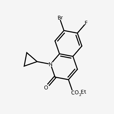 CCOC(=O)c1cc2cc(F)c(Br)cc2n(C2CC2)c1=O